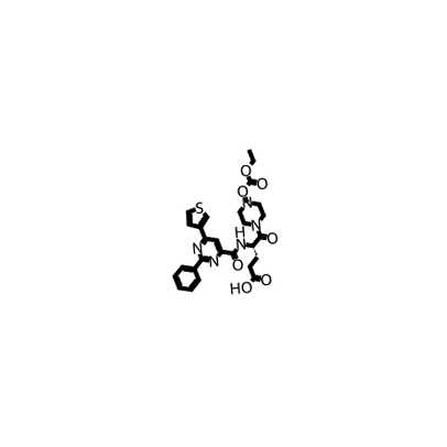 CCOC(=O)ON1CCN(C(=O)[C@H](CCC(=O)O)NC(=O)c2cc(-c3ccsc3)nc(-c3ccccc3)n2)CC1